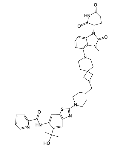 Cn1c(=O)n(C2CCC(=O)NC2=O)c2cccc(N3CCC4(CC3)CN(CC3CCN(c5nc6cc(C(C)(C)O)c(NC(=O)c7ccccn7)cc6s5)CC3)C4)c21